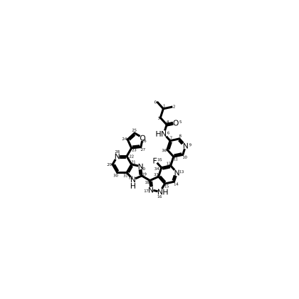 CC(C)CC(=O)Nc1cncc(-c2ncc3[nH]nc(-c4nc5c(-c6ccoc6)nccc5[nH]4)c3c2F)c1